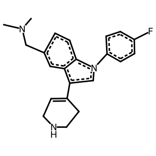 CN(C)Cc1ccc2c(c1)c(C1=CCNCC1)cn2-c1ccc(F)cc1